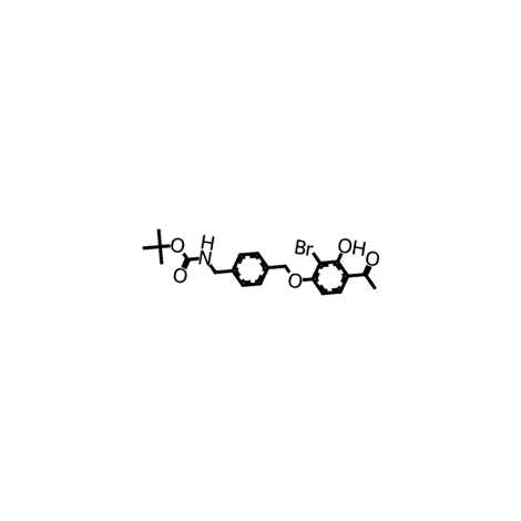 CC(=O)c1ccc(OCc2ccc(CNC(=O)OC(C)(C)C)cc2)c(Br)c1O